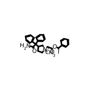 C[N@+]1(CC(=O)OC(I)c2ccccc2)CCC(C(C(N)=O)(c2ccccc2)c2ccccc2)C1